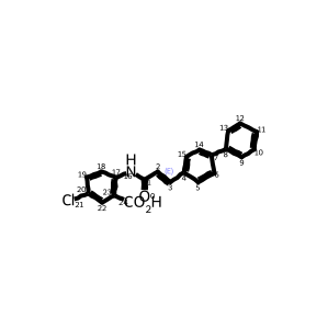 O=C(/C=C/c1ccc(-c2ccccc2)cc1)Nc1ccc(Cl)cc1C(=O)O